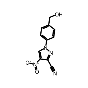 N#Cc1nn(-c2ccc(CO)cc2)cc1[N+](=O)[O-]